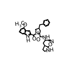 COc1cccc2[nH]c(C(=O)N3CC(Cc4ccccc4)CC3C(=O)NC(C#N)CC3CCNC3=O)cc12